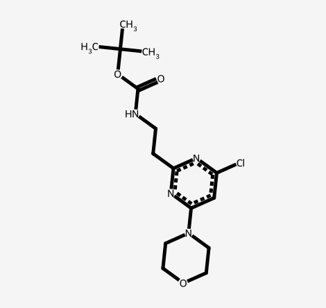 CC(C)(C)OC(=O)NCCc1nc(Cl)cc(N2CCOCC2)n1